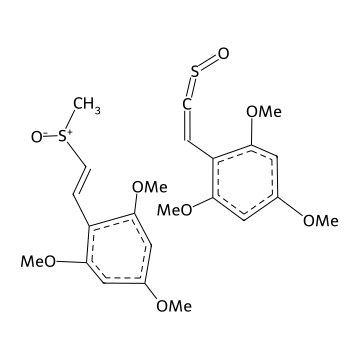 COc1cc(OC)c(C=C=S=O)c(OC)c1.COc1cc(OC)c(C=C[S+](C)[O-])c(OC)c1